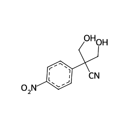 N#CC(CO)(CO)c1ccc([N+](=O)[O-])cc1